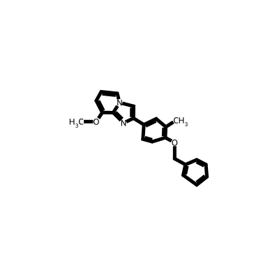 COc1cccn2cc(-c3ccc(OCc4ccccc4)c(C)c3)nc12